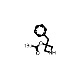 CC(C)(C)C(=O)OC1(Cc2ccccc2)CNC1